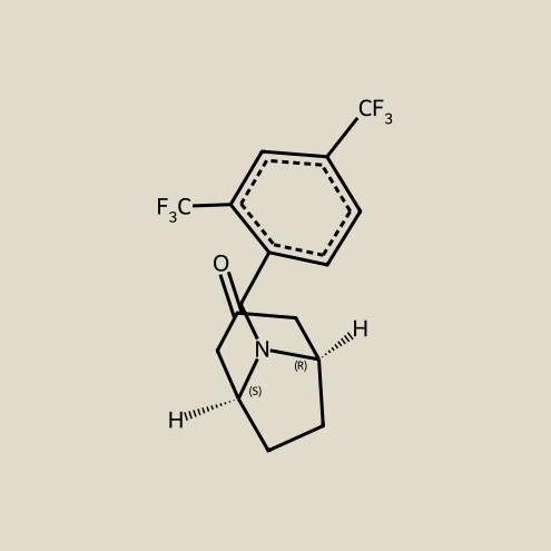 O=C1C[C@H]2CC[C@@H](C1)N2Cc1ccc(C(F)(F)F)cc1C(F)(F)F